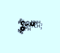 Cc1cc(NC(=O)C(=O)N2CCC(F)(F)C[C@H]2c2ccc3scnc3c2)cnc1N